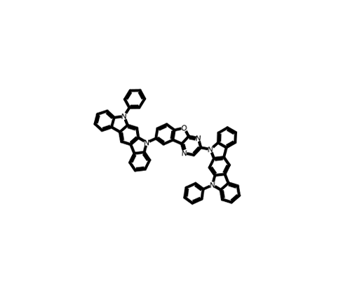 c1ccc(-n2c3ccccc3c3cc4c5ccccc5n(-c5ccc6oc7nc(-n8c9ccccc9c9cc%10c%11ccccc%11n(-c%11ccccc%11)c%10cc98)cnc7c6c5)c4cc32)cc1